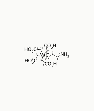 NCC[NH][Mn]([CH2]C(=O)O)([CH2]C(=O)O)([CH2]C(=O)O)[CH2]C(=O)O